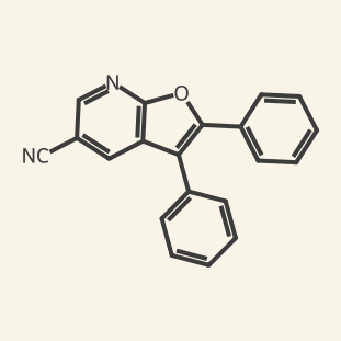 N#Cc1cnc2oc(-c3ccccc3)c(-c3ccccc3)c2c1